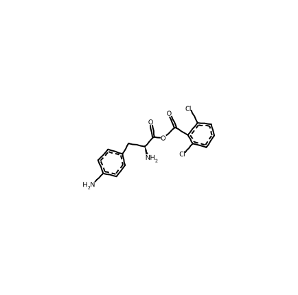 Nc1ccc(C[C@H](N)C(=O)OC(=O)c2c(Cl)cccc2Cl)cc1